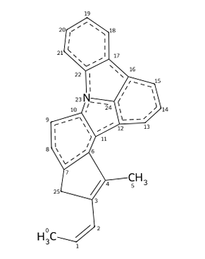 C/C=C\C1=C(C)c2c(ccc3c2c2cccc4c5ccccc5n3c42)C1